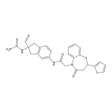 NC(=O)NC1(C=O)Cc2ccc(NC(=O)CN3C(=O)CC(c4cccs4)Sc4ccccc43)cc2C1